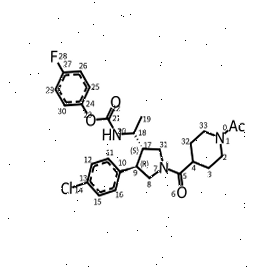 CC(=O)N1CCC(C(=O)N2C[C@@H](c3ccc(Cl)cc3)[C@H](C(C)NC(=O)Oc3ccc(F)cc3)C2)CC1